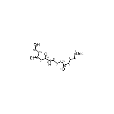 CCCCCCCCCCCCCC(=O)OCCNC(=O)CN(CC)CCO